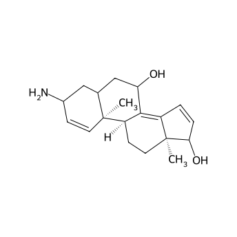 C[C@]12CC[C@@H]3C(=C1C=CC2O)C(O)CC1CC(N)C=C[C@@]13C